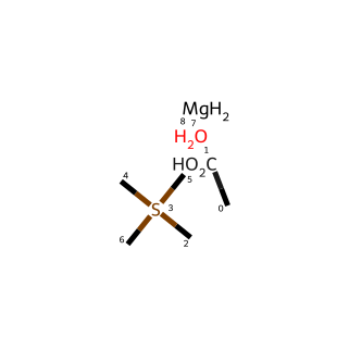 CC(=O)O.CS(C)(C)C.O.[MgH2]